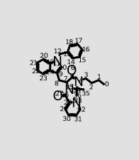 CCCCN1C(=O)C(Cc2cn(Cc3ccccc3)c3ccccc23)N(C(=O)c2ccccn2)C1(C)C